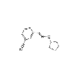 N#Cc1cccc(/[C]=N/OC2CCCC2)c1